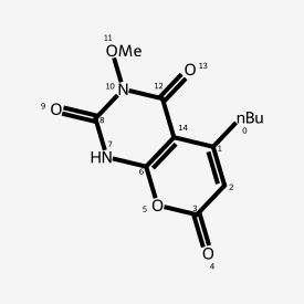 CCCCc1cc(=O)oc2[nH]c(=O)n(OC)c(=O)c12